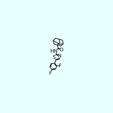 O=C(Nc1ncc(-c2ccc(F)cc2F)s1)C12CC3CC(CC(C3)C1)C2